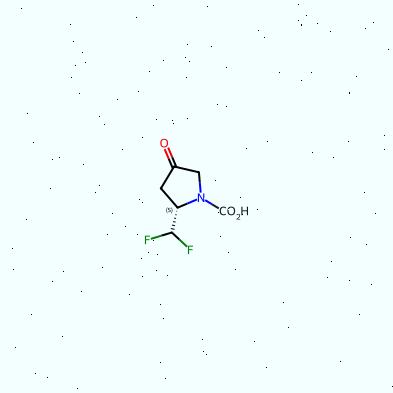 O=C1C[C@@H](C(F)F)N(C(=O)O)C1